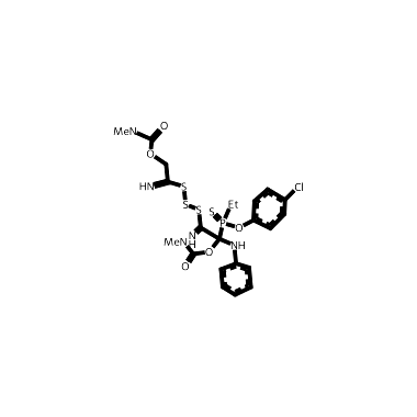 CCP(=S)(Oc1ccc(Cl)cc1)C(Nc1ccccc1)(OC(=O)NC)C(=N)SSSC(=N)COC(=O)NC